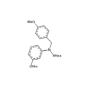 CCCCCCN(Cc1ccc(OC)cc1)c1cccc(OC)c1